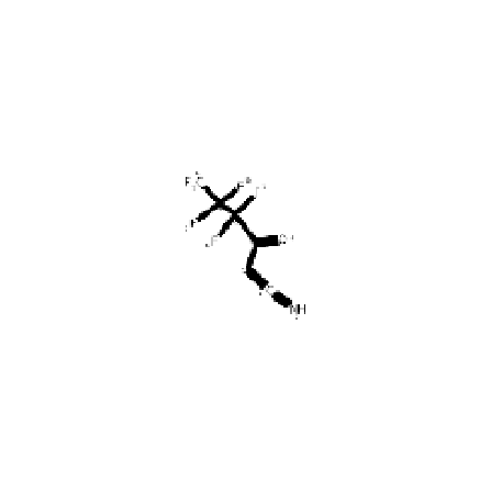 N=C=CC(=O)C(F)(F)C(F)(F)C(F)(F)F